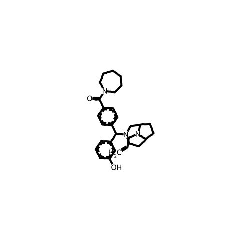 C=CCN1C2CCC1CN(C(c1ccc(C(=O)N3CCCCCC3)cc1)c1cccc(O)c1)CC2